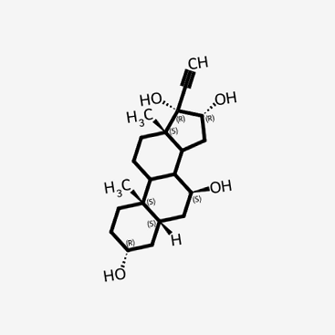 C#C[C@@]1(O)[C@H](O)CC2C3C(CC[C@@]21C)[C@@]1(C)CC[C@@H](O)C[C@H]1C[C@@H]3O